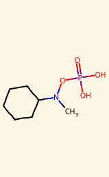 CN(OP(=O)(O)O)C1CCCCC1